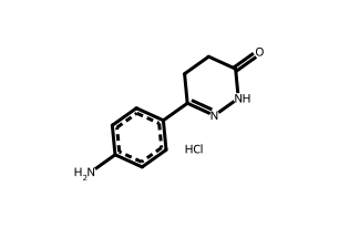 Cl.Nc1ccc(C2=NNC(=O)CC2)cc1